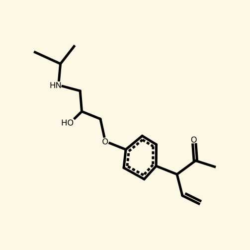 C=CC(C(C)=O)c1ccc(OCC(O)CNC(C)C)cc1